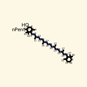 CCCCCC1C(O)CC(C)=C(/C=C/C(C)=C/C=C/C(C)=C/C=C/C=C(C)/C=C/C=C(C)/C=C/C2=C(C)CCCC2(C)C)C1(C)C